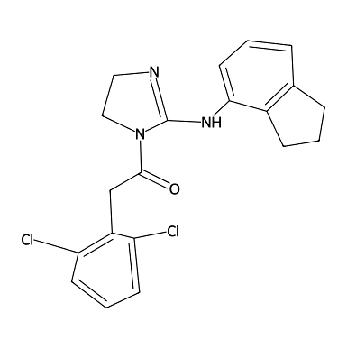 O=C(Cc1c(Cl)cccc1Cl)N1CCN=C1Nc1cccc2c1CCC2